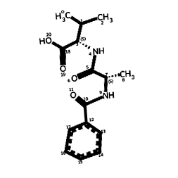 CC(C)[C@H](NC(=O)[C@H](C)NC(=O)c1ccccc1)C(=O)O